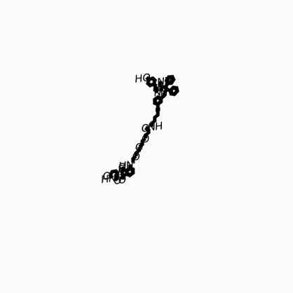 N=c1c2c(-c3ccccc3)c(-c3ccccc3)n(Cc3cccc(C#CCCCCNC(=O)CCOCCOCCOCCNc4cccc5c4C(=O)N(C4CCC(=O)NC4=O)C5=O)c3)c2ncn1C1CCC(O)CC1